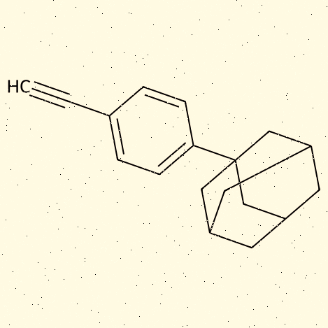 C#Cc1ccc(C23CC4CC(CC(C4)C2)C3)cc1